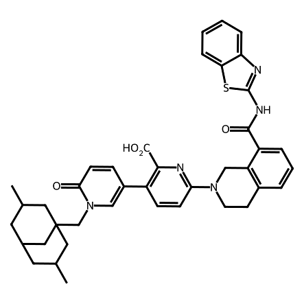 CC1CC2CC(C)CC(Cn3cc(-c4ccc(N5CCc6cccc(C(=O)Nc7nc8ccccc8s7)c6C5)nc4C(=O)O)ccc3=O)(C1)C2